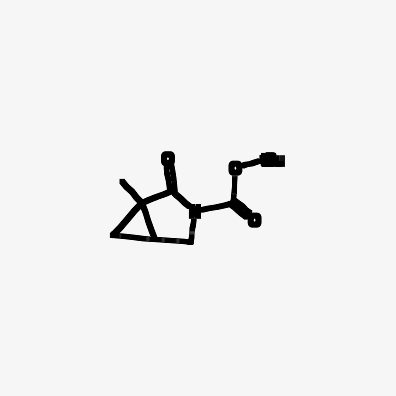 CC(C)(C)OC(=O)N1CC2CC2(C)C1=O